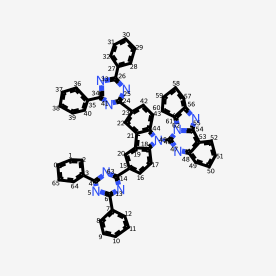 c1ccc(-c2nc(-c3ccccc3)nc(-c3ccc4c(c3)c3cc(-c5nc(-c6ccccc6)nc(-c6ccccc6)n5)ccc3n4-c3nc4ccccc4c4nc5ccccc5n34)n2)cc1